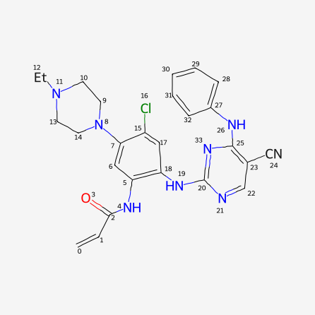 C=CC(=O)Nc1cc(N2CCN(CC)CC2)c(Cl)cc1Nc1ncc(C#N)c(Nc2ccccc2)n1